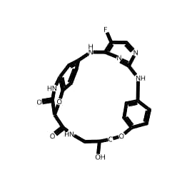 O=C1NCC(O)COc2ccc(cc2)Nc2ncc(F)c(n2)Nc2ccc3c(c2)NC(=O)C1O3